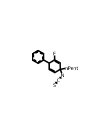 CCCCCC1(N=C=S)C=CC(c2ccccc2)C(F)=C1